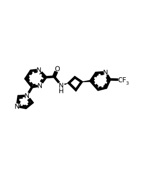 O=C(N[C@H]1C[C@H](c2ccc(C(F)(F)F)nc2)C1)c1nccc(-n2ccnc2)n1